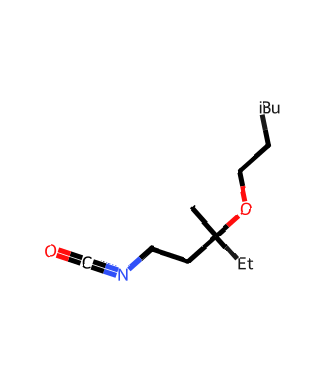 CCC(C)CCOC(C)(CC)CCN=C=O